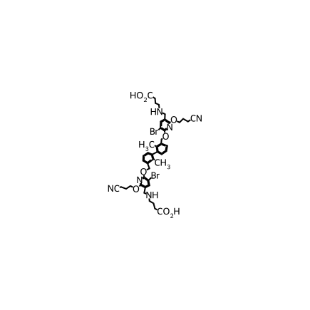 Cc1c(COc2nc(OCCCC#N)c(CNCCCC(=O)O)cc2Br)cccc1-c1cccc(COc2nc(OCCCC#N)c(CNCCCC(=O)O)cc2Br)c1C